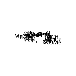 COC(=O)N[C@H](C(=O)N1[C@H](C)[C@H](C)C[C@H]1c1ncc(-c2ccc3cc(C#Cc4cnc([C@@H]5CC(C)[C@@H](C)N5C(=O)[C@@H](NC(=O)OC)C5CCOCC5)[nH]4)ccc3c2)[nH]1)C(C)C